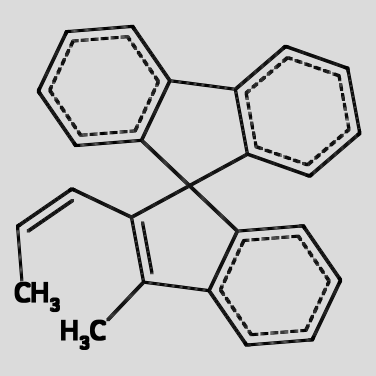 C/C=C\C1=C(C)c2ccccc2C12c1ccccc1-c1ccccc12